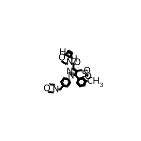 Cc1cccc2c1S(=O)(=O)Cc1c(C(=O)N3CCO[C@@H]4C#C[C@@H]43)nn(-c3ccc(CN4CCOCC4)cc3)c1-2